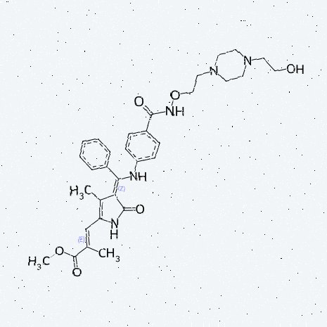 COC(=O)/C(C)=C/C1=C(C)C(=C(/Nc2ccc(C(=O)NOCCN3CCN(CCO)CC3)cc2)c2ccccc2)/C(=O)N1